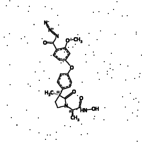 COc1cc(Oc2ccc([C@]3(C)CCN([C@H](C)C(=O)NO)C3=O)cc2)ccc1C(=O)N=[N+]=[N-]